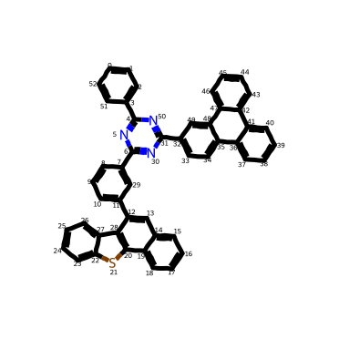 c1ccc(-c2nc(-c3cccc(-c4cc5ccccc5c5sc6ccccc6c45)c3)nc(-c3ccc4c5ccccc5c5ccccc5c4c3)n2)cc1